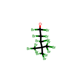 [O]C(Br)(Br)C(Br)(Br)C(Br)(Br)C(C(Br)(Br)Br)(C(Br)(Br)Br)C(Br)(Br)Br